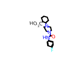 O=C(O)C1CCCCC1N1CCN(C(=O)Nc2ccc(F)cc2)CC1